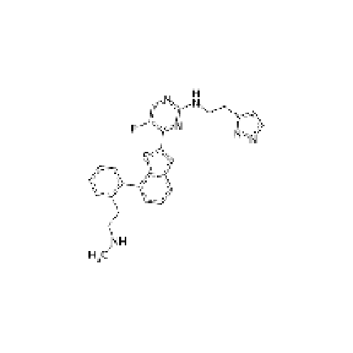 CNCCc1ccccc1-c1cccc2cc(-c3nc(NCCn4ccnn4)ncc3F)sc12